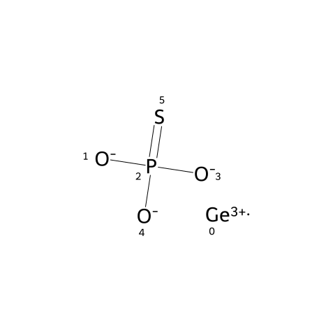 [Ge+3].[O-]P([O-])([O-])=S